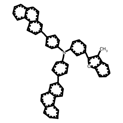 Cc1c(-c2cccc(N(c3ccc(-c4ccc5c(ccc6ccccc65)c4)cc3)c3ccc(-c4ccc5c(ccc6ccccc65)c4)cc3)c2)oc2ccccc12